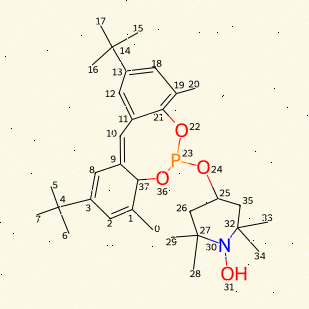 CC1=CC(C(C)(C)C)=C/C2=C/c3cc(C(C)(C)C)cc(C)c3OP(OC3CC(C)(C)N(O)C(C)(C)C3)OC12